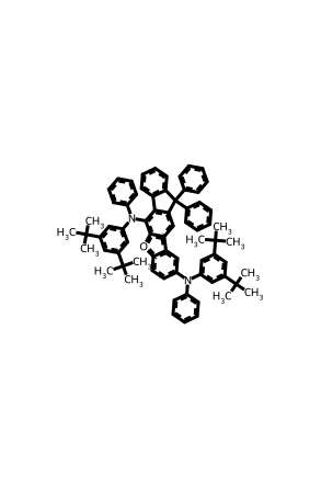 CC(C)(C)c1cc(N(c2ccccc2)c2ccc3oc4c(N(c5ccccc5)c5cc(C(C)(C)C)cc(C(C)(C)C)c5)c5c(cc4c3c2)C(c2ccccc2)(c2ccccc2)c2ccccc2-5)cc(C(C)(C)C)c1